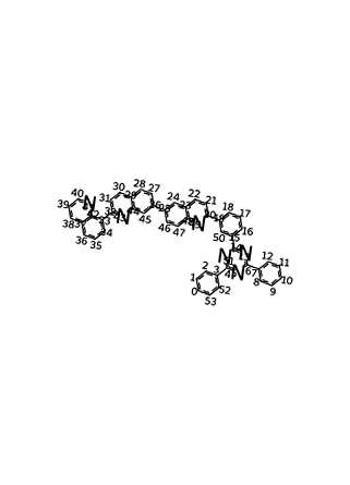 c1ccc(-c2nc(-c3ccccc3)nc(-c3cccc(-c4ccc5cc(-c6ccc7ccc(-c8cccc9cccnc89)nc7c6)ccc5n4)c3)n2)cc1